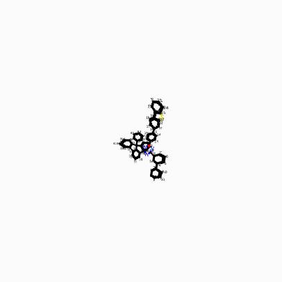 c1ccc(-c2cccc(-c3nc(-c4ccc(-c5ccc6c(c5)sc5ccccc56)cc4)nc(-c4cccc5c4C(c4ccccc4)(c4ccccc4)c4ccccc4-5)n3)c2)cc1